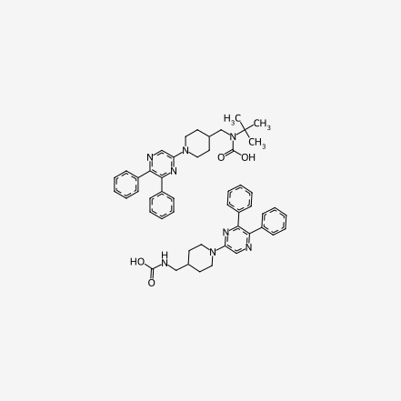 CC(C)(C)N(CC1CCN(c2cnc(-c3ccccc3)c(-c3ccccc3)n2)CC1)C(=O)O.O=C(O)NCC1CCN(c2cnc(-c3ccccc3)c(-c3ccccc3)n2)CC1